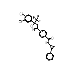 O=C(NC1CC1c1ccccc1)c1ccc(C2=NOC(c3ccc(Cl)c(Cl)c3)(C(F)(F)F)C2)cc1